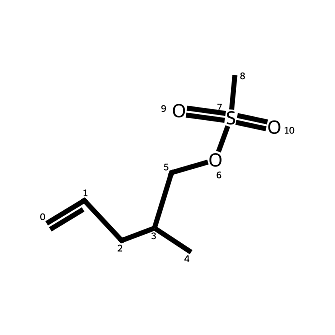 C=CCC(C)COS(C)(=O)=O